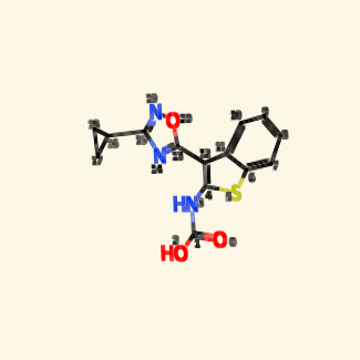 O=C(O)Nc1sc2ccccc2c1-c1nc(C2CC2)no1